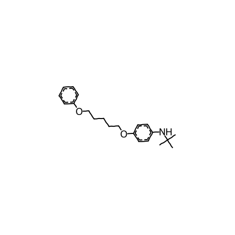 CC(C)(C)Nc1ccc(OCCCCCOc2ccccc2)cc1